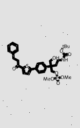 COP(=O)(OC)OCC(CO)(CCNC(=O)OC(C)(C)C)c1ccc(-c2ccc(C(=O)CCc3ccccc3)s2)cc1